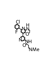 CNCCC(=O)Nc1cncc(-c2cc(-c3cc(Cl)ccc3F)nc3c2OCCN3)c1